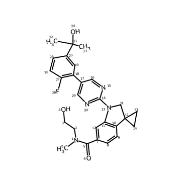 CN(CCO)C(=O)c1ccc2c(c1)N(c1ncc(-c3cc(C(C)(C)O)ccc3F)cn1)CC21CC1